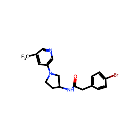 O=C(Cc1ccc(Br)cc1)NC1CCN(c2cncc(C(F)(F)F)c2)C1